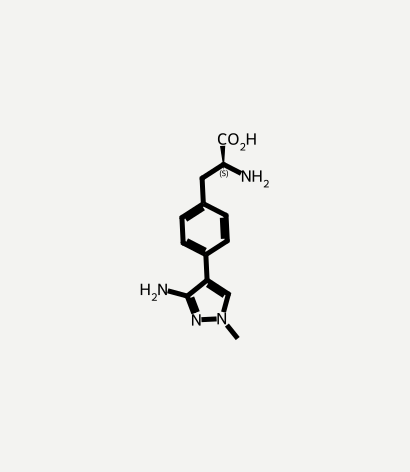 Cn1cc(-c2ccc(C[C@H](N)C(=O)O)cc2)c(N)n1